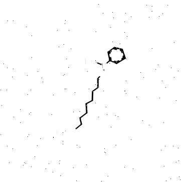 CCCCCCCCCCCCCCCCCCOP(O)c1ccccc1